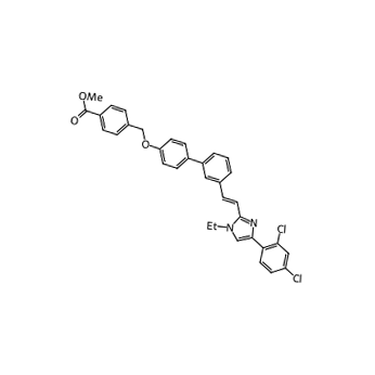 CCn1cc(-c2ccc(Cl)cc2Cl)nc1/C=C/c1cccc(-c2ccc(OCc3ccc(C(=O)OC)cc3)cc2)c1